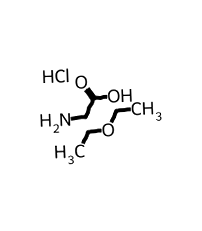 CCOCC.Cl.NCC(=O)O